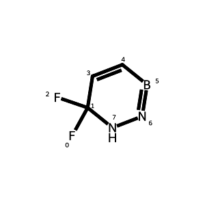 FC1(F)C=CB=NN1